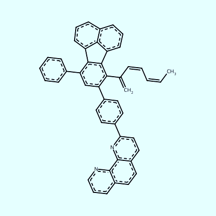 C=C(/C=C\C=C/C)c1c(-c2ccc(-c3ccc4ccc5cccnc5c4n3)cc2)cc(-c2ccccc2)c2c1-c1cccc3cccc-2c13